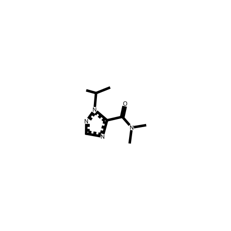 CC(C)n1ncnc1C(=O)N(C)C